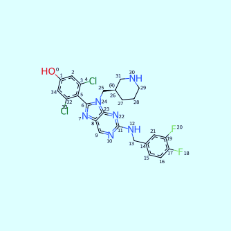 Oc1cc(Cl)c(-c2nc3cnc(NCc4ccc(F)c(F)c4)nc3n2C[C@@H]2CCCNC2)c(Cl)c1